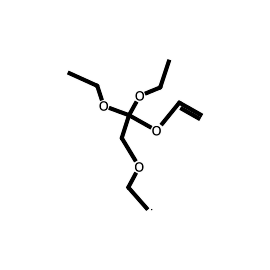 [CH2]COCC(OC=C)(OCC)OCC